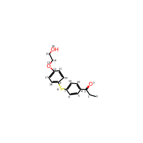 CCC(=O)c1ccc(Sc2ccc(OCCO)cc2)cc1